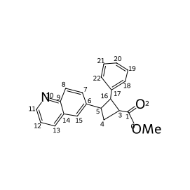 COC(=O)C1CC(c2ccc3ncccc3c2)C1c1ccccc1